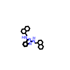 c1ccc2c(NCC3CCCC4CCCCC43)nc(NCC3CCCC4CCCCC43)nc2c1